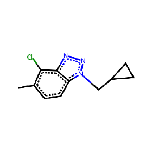 Cc1ccc2c(nnn2CC2CC2)c1Cl